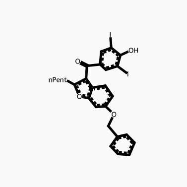 CCCCCc1oc2cc(OCc3ccccc3)ccc2c1C(=O)c1cc(I)c(O)c(I)c1